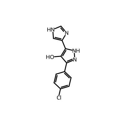 Oc1c(-c2ccc(Cl)cc2)n[nH]c1-c1c[nH]cn1